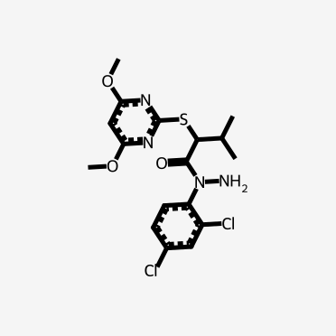 COc1cc(OC)nc(SC(C(=O)N(N)c2ccc(Cl)cc2Cl)C(C)C)n1